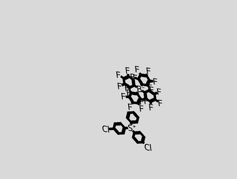 Clc1ccc([S+](c2ccccc2)c2ccc(Cl)cc2)cc1.Fc1c(F)c(F)c([B-](c2c(F)c(F)c(F)c(F)c2F)(c2c(F)c(F)c(F)c(F)c2F)c2c(F)c(F)c(F)c(F)c2F)c(F)c1F